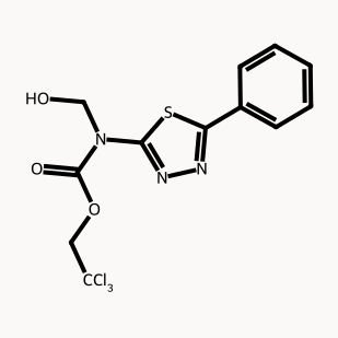 O=C(OCC(Cl)(Cl)Cl)N(CO)c1nnc(-c2ccccc2)s1